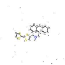 CN(CC1=CSC(=C2SC=CS2)S1)Cc1c2ccccc2cc2ccccc12